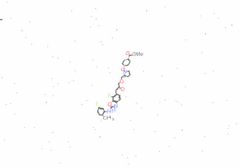 COC(=O)[C@H]1CC[C@H](ON2CCC[C@H]2COCC(=O)Cc2ccc3nc(Nc4cc(F)ccc4C)oc3c2F)CC1